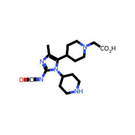 Cc1nc(N=C=O)n(C2CCNCC2)c1C1CCN(CC(=O)O)CC1